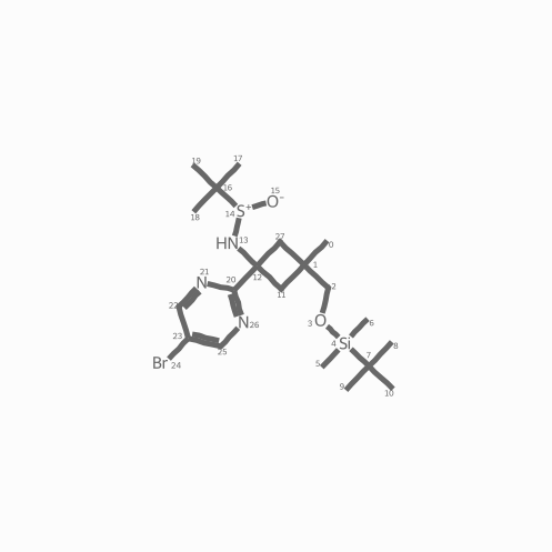 CC1(CO[Si](C)(C)C(C)(C)C)CC(N[S+]([O-])C(C)(C)C)(c2ncc(Br)cn2)C1